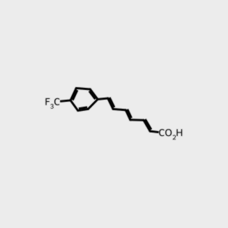 O=C(O)/C=C/C=C/C=C/c1ccc(C(F)(F)F)cc1